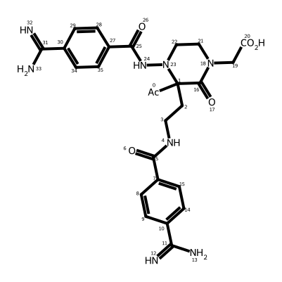 CC(=O)C1(CCNC(=O)c2ccc(C(=N)N)cc2)C(=O)N(CC(=O)O)CCN1NC(=O)c1ccc(C(=N)N)cc1